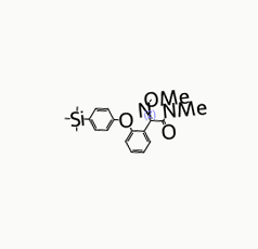 CNC(=O)/C(=N\OC)c1ccccc1Oc1ccc([Si](C)(C)C)cc1